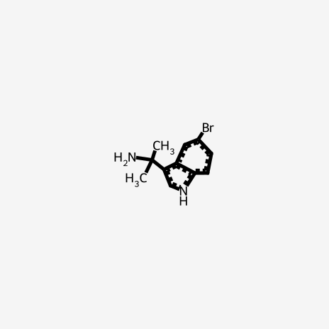 CC(C)(N)c1c[nH]c2ccc(Br)cc12